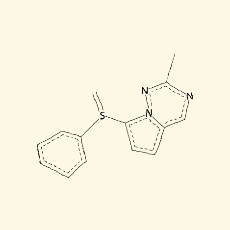 C=S(c1ccccc1)c1ccc2cnc(C)nn12